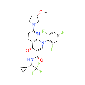 COC1CCN(c2ccc3c(=O)c(C(=O)NC(C4CC4)C(F)(F)F)cn(-c4c(F)cc(F)cc4F)c3n2)C1